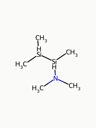 CN(C)[SiH](C)[SiH](C)C